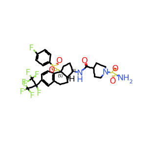 NS(=O)(=O)N1CCC(C(=O)N[C@@H]2CC[C@@]3(S(=O)(=O)c4ccc(F)cc4)c4ccc(C(F)(C(F)(F)F)C(F)(F)F)cc4CC[C@@H]23)CC1